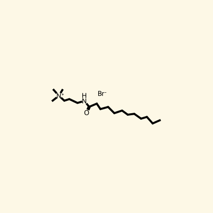 CCCCCCCCCCCC(=O)NCCC[N+](C)(C)C.[Br-]